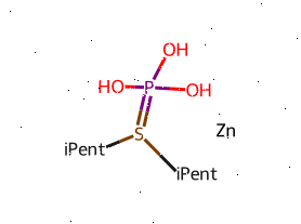 CCCC(C)S(C(C)CCC)=P(O)(O)O.[Zn]